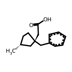 C[C@@H]1CC[C@](CC(=O)O)(Cc2ccccc2)C1